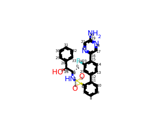 C[C@H](NS(=O)(=O)c1ccccc1-c1ccc(-c2cnc(N)cn2)c(F)c1)[C@@H](O)c1ccccc1